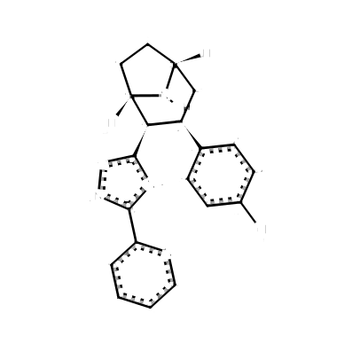 CN1[C@@H]2CC[C@H]1[C@H](c1nc(-c3ccccn3)no1)[C@H](c1ccc(Cl)cc1)C2